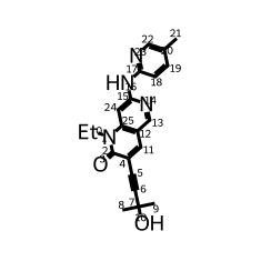 CCn1c(=O)c(C#CC(C)(C)O)cc2cnc(Nc3ccc(C)cn3)cc21